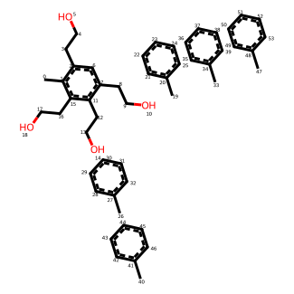 Cc1c(CCO)cc(CCO)c(CCO)c1CCO.Cc1ccccc1.Cc1ccccc1.Cc1ccccc1.Cc1ccccc1.Cc1ccccc1